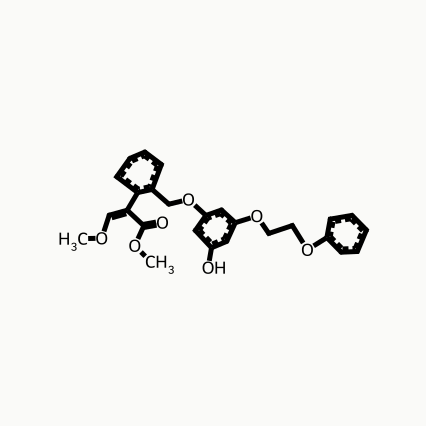 CO/C=C(\C(=O)OC)c1ccccc1COc1cc(O)cc(OCCOc2ccccc2)c1